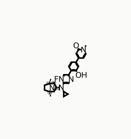 Cn1ccc(-c2ccc(-c3cnc(N(C4CC4)[C@H]4C[C@]5(C)CC[C@@](C)(N5)[C@H]4F)cn3)c(O)c2)cc1=O